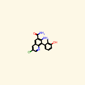 Cc1c(O)cccc1-c1c(N)c(C(N)=O)cc2cc(Cl)cnc12